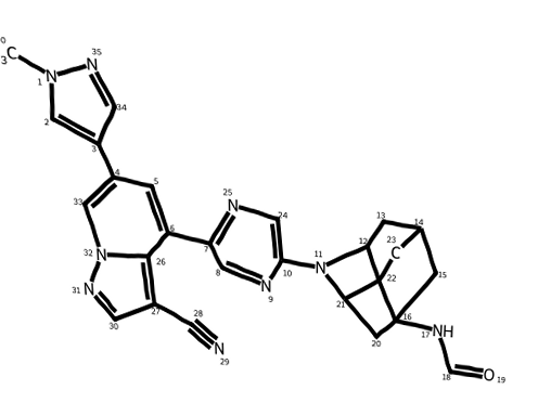 Cn1cc(-c2cc(-c3cnc(N4C5CC6CC7(NC=O)CC4C57C6)cn3)c3c(C#N)cnn3c2)cn1